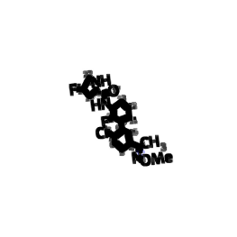 CO/N=C(\C)c1ccc(Cl)c(-c2cccc(NC(=O)[C@@H]3CC(F)CN3)c2F)c1